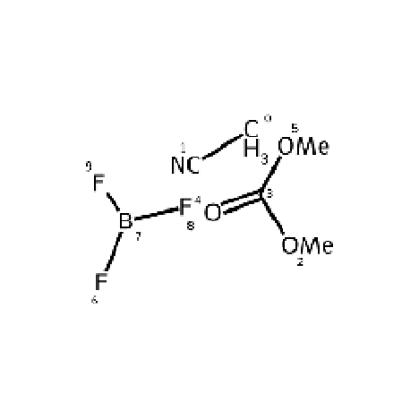 CC#N.COC(=O)OC.FB(F)F